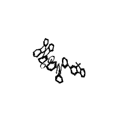 CC1(C)c2ccccc2-c2ccc(-c3cccc(N(c4ccccc4)c4ccc5c(c4)Oc4c(ccc6c4-c4ccccc4C64C6=CC=CCC6c6ccccc64)O5)c3)cc21